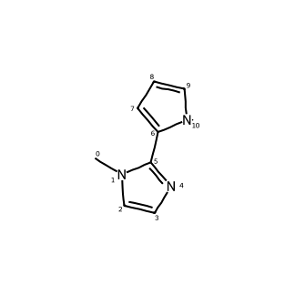 Cn1ccnc1C1=CC=C[N]1